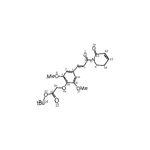 COc1cc(/C=C/C(=O)N2CCC=CC2=O)cc(OC)c1OCC(=O)OC(C)(C)C